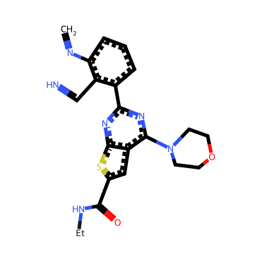 C=Nc1cccc(-c2nc(N3CCOCC3)c3cc(C(=O)NCC)sc3n2)c1C=N